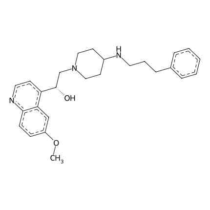 COc1ccc2nccc([C@@H](O)CN3CCC(NCCCc4ccccc4)CC3)c2c1